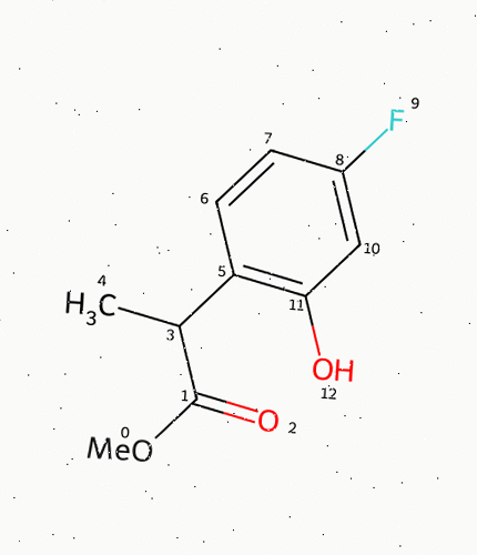 COC(=O)C(C)c1ccc(F)cc1O